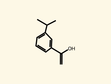 C=C(O)c1cccc(C(C)C)c1